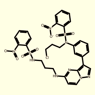 O=[N+]([O-])c1ccccc1S(=O)(=O)NCCCNc1ccn2ncc(-c3cccc(N(CCCCl)S(=O)(=O)c4ccccc4[N+](=O)[O-])c3)c2n1